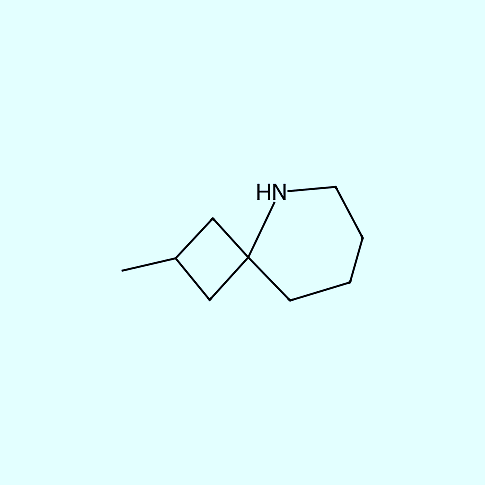 CC1CC2(CCCCN2)C1